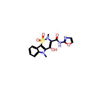 CN1C(C(=O)Nc2ncco2)=C(O)c2c(c3ccccc3n2C)S1(=O)=O